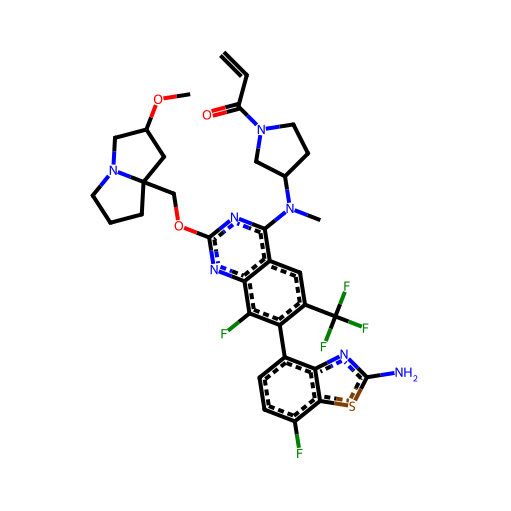 C=CC(=O)N1CCC(N(C)c2nc(OCC34CCCN3CC(OC)C4)nc3c(F)c(-c4ccc(F)c5sc(N)nc45)c(C(F)(F)F)cc23)C1